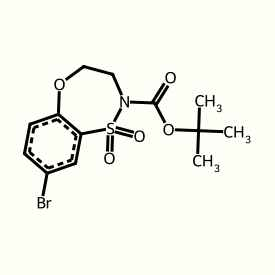 CC(C)(C)OC(=O)N1CCOc2ccc(Br)cc2S1(=O)=O